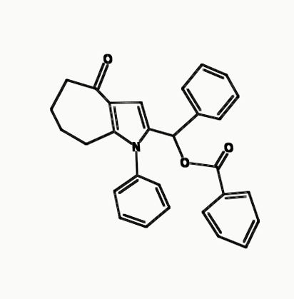 O=C(OC(c1ccccc1)c1cc2c(n1-c1ccccc1)CCCCC2=O)c1ccccc1